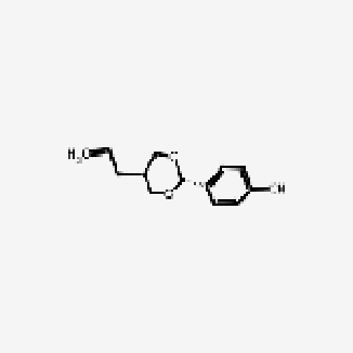 C=CC[C@H]1CO[C@H](c2ccc(C#N)cc2)OC1